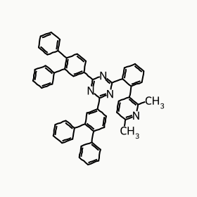 Cc1ccc(-c2ccccc2-c2nc(-c3ccc(-c4ccccc4)c(-c4ccccc4)c3)nc(-c3ccc(-c4ccccc4)c(-c4ccccc4)c3)n2)c(C)n1